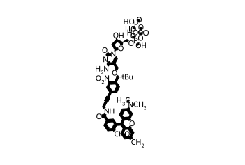 C=c1ccc2c(c1)Oc1cc(N(C)C)ccc1C=2c1cc(C(=O)NCC#Cc2ccc([C@H](OCc3cn([C@H]4C[C@@H](O)[C@@H](COP(=O)(O)OP(=O)(O)OP(=O)(O)O)O4)c(=O)nc3N)C(C)(C)C)c([N+](=O)[O-])c2)ccc1C=O